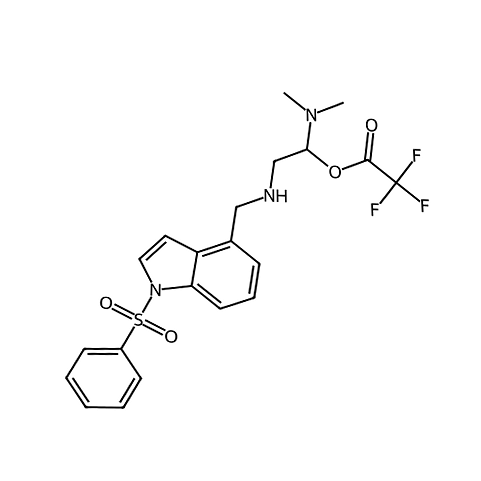 CN(C)C(CNCc1cccc2c1ccn2S(=O)(=O)c1ccccc1)OC(=O)C(F)(F)F